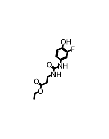 CCOC(=O)CCNC(=O)Nc1ccc(O)c(F)c1